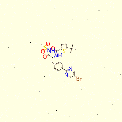 CC(C)(C)c1ccc(C(=O)NC(Cc2ccc(-c3ncc(Br)cn3)cc2)C(=O)NS(C)(=O)=O)s1